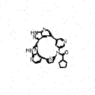 O=C(C1CCCC1)n1c2cncc(c2)c2cnc3[nH]nc(c4nc5c(nccc5c5ccc1s5)[nH]4)c3c2